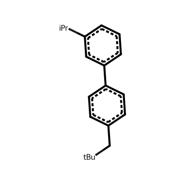 CC(C)c1cccc(-c2ccc(CC(C)(C)C)cc2)c1